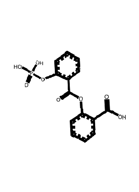 O=C(O)c1ccccc1OC(=O)c1ccccc1OP(=O)(O)O